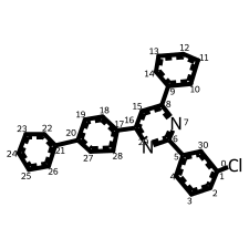 Clc1cccc(-c2nc(-c3ccccc3)cc(-c3ccc(-c4ccccc4)cc3)n2)c1